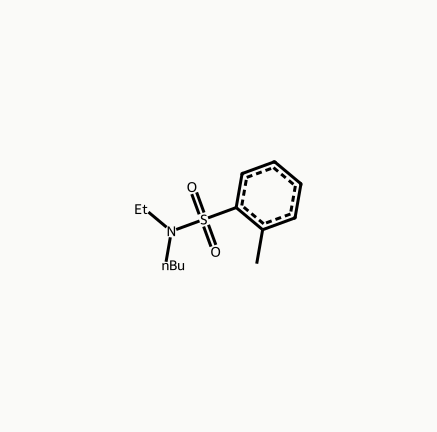 CCCCN(CC)S(=O)(=O)c1ccccc1C